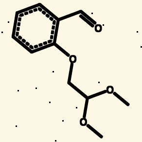 COC(COc1ccccc1C=O)OC